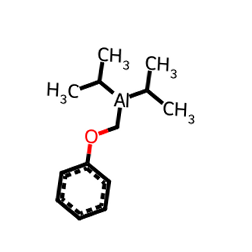 C[CH](C)[Al]([CH2]Oc1ccccc1)[CH](C)C